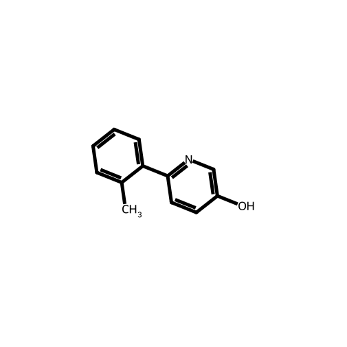 Cc1ccccc1-c1ccc(O)cn1